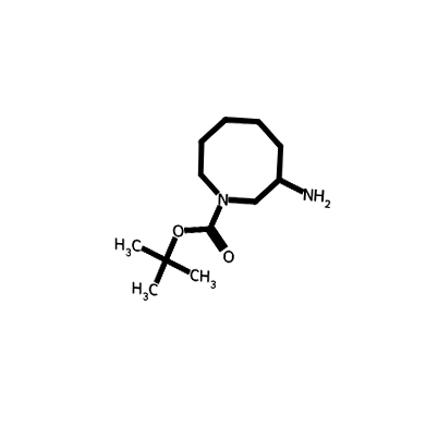 CC(C)(C)OC(=O)N1CCCCCC(N)C1